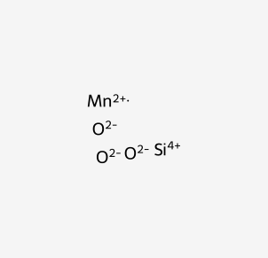 [Mn+2].[O-2].[O-2].[O-2].[Si+4]